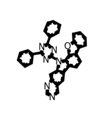 c1ccc(-c2nc(-c3ccccc3)nc(-n3c4cc5ncncc5cc4c4ccc5c6ccccc6oc5c43)n2)cc1